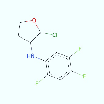 Fc1cc(F)c(NC2CCO[C]2Cl)cc1F